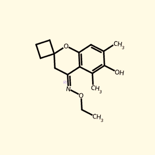 CCO/N=C1/CC2(CCC2)Oc2cc(C)c(O)c(C)c21